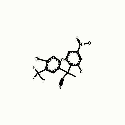 CC(C#N)(c1ccc(Cl)c(C(F)(F)F)c1)c1c(Cl)cc([N+](=O)[O-])cc1Cl